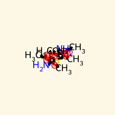 CC=CC(=O)Oc1c(OCC)cc(Sc2cc(OCC)c(OC(=O)C=CC)c(CN)c2OCC)c(OCC)c1CN